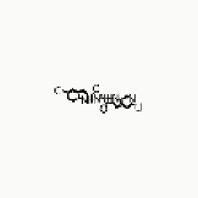 O=C(NNC(=O)c1cc2cc(Cl)ncc2[nH]1)c1cc2cc(Cl)ccc2[nH]1